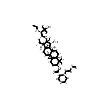 CCO[C@@H]([C@H]1C[C@@H](C)[C@H]2[C@H](O1)[C@H](O)[C@@]1(C)[C@@H]3CC[C@H]4C(C)(C)[C@@H](OC(=O)[C@H]5COCCN5CCOC)CCC45C[C@@]35CC[C@]21C)C(C)(C)O